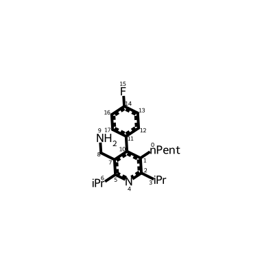 CCCCCc1c(C(C)C)nc(C(C)C)c(CN)c1-c1ccc(F)cc1